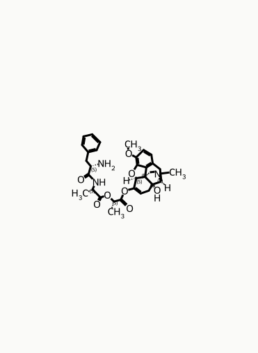 COc1ccc2c3c1O[C@@H]1C(OC(=O)[C@H](C)OC(=O)[C@H](C)NC(=O)[C@@H](N)Cc4ccccc4)=CC[C@]4(O)[C@H](C2)N(C)CC[C@@]314